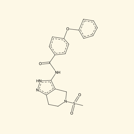 CS(=O)(=O)N1CCc2n[nH]c(NC(=O)c3ccc(Oc4ccccc4)cc3)c2C1